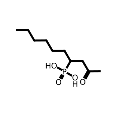 CCCCCCC(CC(C)=O)P(=O)(O)O